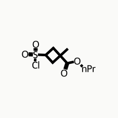 CCCOC(=O)C1(C)CC(S(=O)(=O)Cl)C1